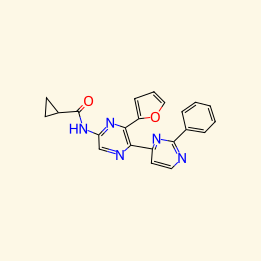 O=C(Nc1cnc(-c2ccnc(-c3ccccc3)n2)c(-c2ccco2)n1)C1CC1